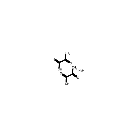 CC(=O)C(=O)O.CC(=O)C(=O)O.[NaH]